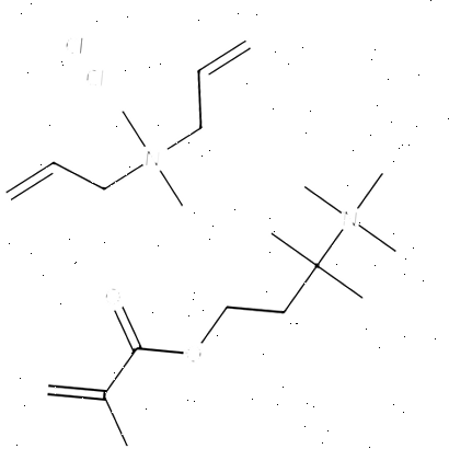 C=C(C)C(=O)OCCC(C)(C)[N+](C)(C)C.C=CC[N+](C)(C)CC=C.[Cl-].[Cl-]